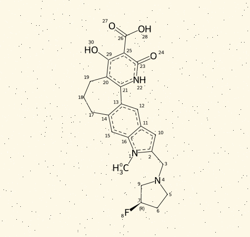 Cn1c(CN2CC[C@@H](F)C2)cc2cc3c(cc21)CCCc1c-3[nH]c(=O)c(C(=O)O)c1O